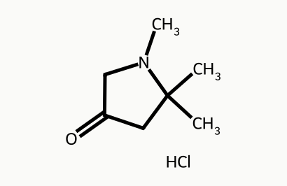 CN1CC(=O)CC1(C)C.Cl